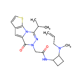 C=CCN(C)C1CCC1NC(=O)Cn1nc(C(C)C)n2c(cc3ccsc32)c1=O